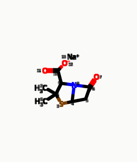 CC1(C)SC2CC(=O)N2C1C(=O)[O-].[Na+]